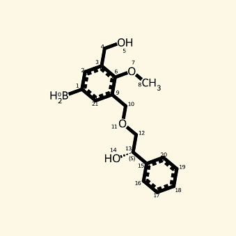 Bc1cc(CO)c(OC)c(COC[C@@H](O)c2ccccc2)c1